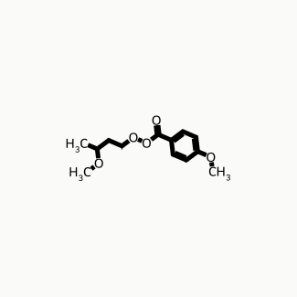 COc1ccc(C(=O)OO[CH]CC(C)OC)cc1